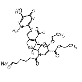 CCOC(=O)C(=CN(C(=O)CCCCC=O)C1C(=O)N2C(C(=O)[O-])=C(CSc3nc(=O)c(O)nn3C)CS[C@@H]12)C(=O)OCC.[Na+]